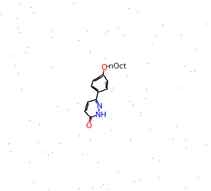 CCCCCCCCOc1ccc(-c2ccc(=O)[nH]n2)cc1